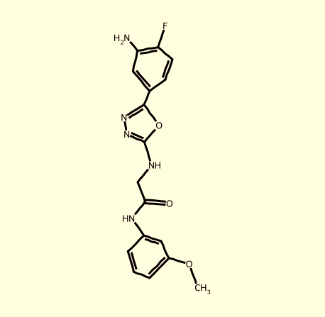 COc1cccc(NC(=O)CNc2nnc(-c3ccc(F)c(N)c3)o2)c1